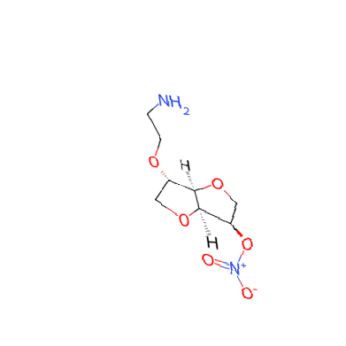 NCCO[C@H]1CO[C@H]2[C@@H]1OC[C@H]2O[N+](=O)[O-]